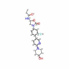 CCC(=O)NC1CN(c2ccc(-c3ccc(N4CCC(O)CC4)nc3)c(F)c2)C(=O)O1